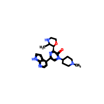 CC1NCCO[C@H]1c1nc(-c2ccnc3[nH]ccc23)cn(C2CCN(C)CC2)c1=O